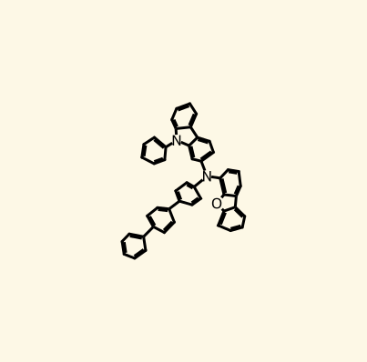 c1ccc(-c2ccc(-c3ccc(N(c4ccc5c6ccccc6n(-c6ccccc6)c5c4)c4cccc5c4oc4ccccc45)cc3)cc2)cc1